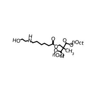 CCCCCCCCOC(=O)C(C)(COC(=O)CCCCCNCCO)C(=O)OCCCCCCCC